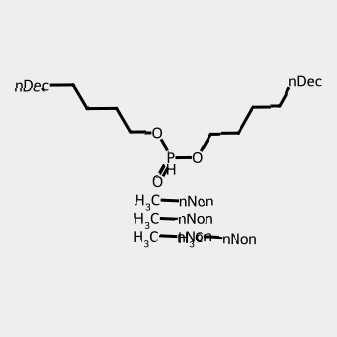 CCCCCCCCCC.CCCCCCCCCC.CCCCCCCCCC.CCCCCCCCCC.CCCCCCCCCCCCCCO[PH](=O)OCCCCCCCCCCCCCC